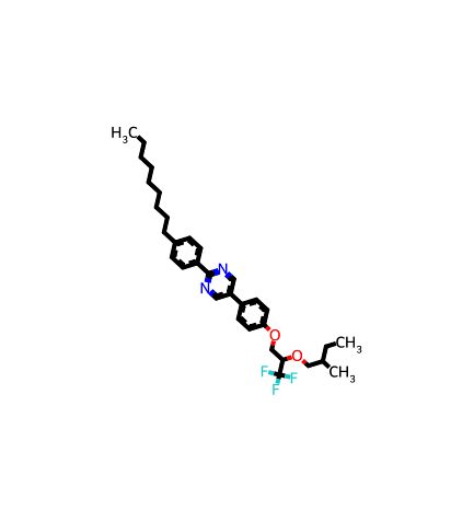 CCCCCCCCCc1ccc(-c2ncc(-c3ccc(OCC(OCC(C)CC)C(F)(F)F)cc3)cn2)cc1